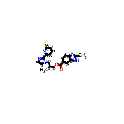 Cc1nc2ccc(C(=O)OCC(C)Cn3ccnc3-c3cccc(F)n3)cc2[nH]1